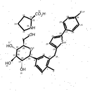 Cc1ccc([C@@H]2O[C@H](CO)[C@@H](O)[C@H](O)[C@H]2O)cc1Cc1ccc(-c2ccc(F)cc2)s1.O=C(O)[C@@H]1CCCN1